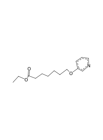 CCOC(=O)CCCCCCOc1cccnc1